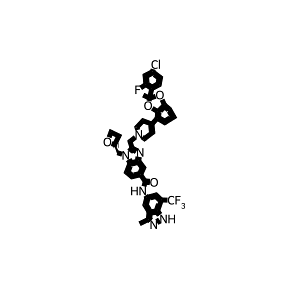 Cc1n[nH]c2c(C(F)(F)F)cc(NC(=O)c3ccc4c(c3)nc(CN3CC=C(c5cccc6c5OC(C)(c5ccc(Cl)cc5F)O6)CC3)n4C[C@@H]3CCO3)cc12